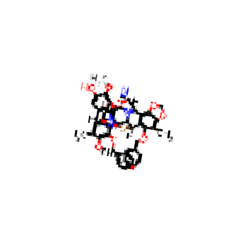 COc1cc2c(cc1O)CCN[C@]21CS[C@@H]2c3c(OCc4ccccc4)c(C)c4c(c3[C@H](COC1=O)N1C2C2c3c(cc(C)c(OC)c3OCc3ccccc3)C[C@@H]([C@@H]1C#N)N2C)OCO4